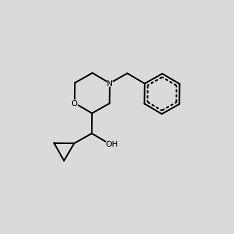 OC(C1CC1)C1CN(Cc2ccccc2)CCO1